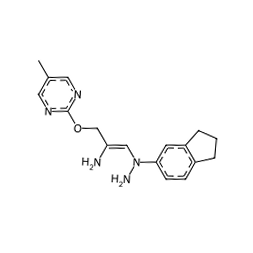 Cc1cnc(OC/C(N)=C/N(N)c2ccc3c(c2)CCC3)nc1